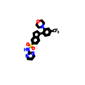 O=S(=O)(Nc1ncccn1)c1ccc2c(c1)CCC2c1ccc(C(F)(F)F)cc1N1CCOCC1